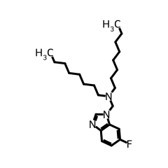 CCCCCCCCN(CCCCCCCC)Cn1cnc2ccc(F)cc21